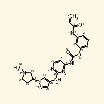 C=CC(=O)Nc1cccc(OC(=O)Nc2ccnc(Nc3cnn(C4CCN(C)C4)c3)n2)c1